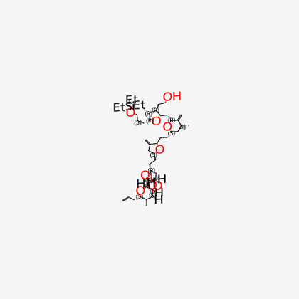 C=CC[C@@H]1O[C@H]2[C@H]3O[C@]4(CC[C@H]5CC(=C)C(CC[C@H]6C[C@@H](C)C(=C)[C@@H](CC7O[C@H](C[C@H](C)CO[Si](CC)(CC)CC)[C@H](C)[C@H]7CCO)O6)O5)C[C@H]3O[C@H]2[C@@H](O4)C1C